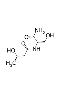 C[C@@H](O)CC(=O)N[C@H](CO)C(N)=O